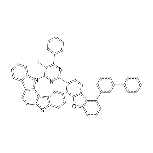 Ic1c(-c2ccccc2)nc(-c2ccc3c(c2)oc2cccc(-c4cccc(-c5ccccc5)c4)c23)nc1-n1c2ccccc2c2ccc3sc4ccccc4c3c21